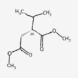 COC(=O)C[C@@H](C(=O)OC)C(C)C